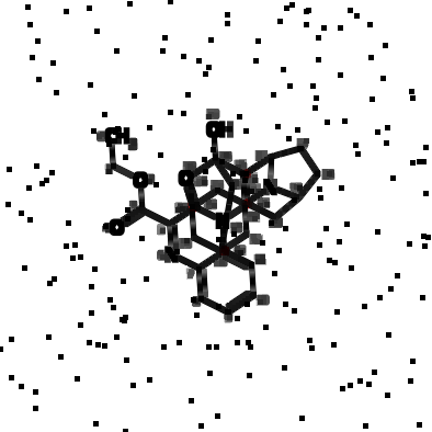 CCOC(=O)c1nc2ccccc2n(C2CC3CCC(C2)N3C23CC4CC(CC(O)(C4)C2)C3)c1=O